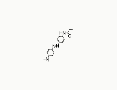 CN(C)c1ccc(/N=N/c2ccc(NC(=O)CI)cc2)cc1